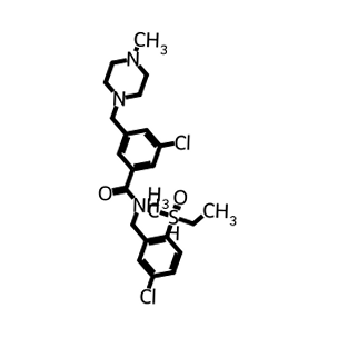 CC[SH](C)(=O)c1ccc(Cl)cc1CNC(=O)c1cc(Cl)cc(CN2CCN(C)CC2)c1